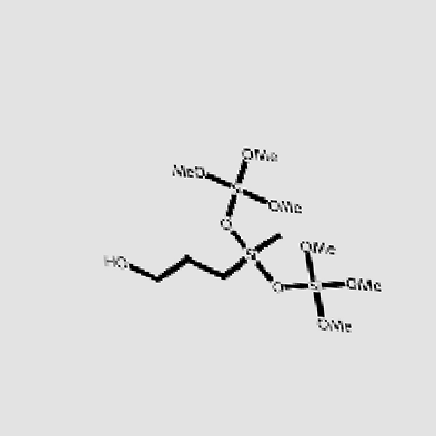 CO[Si](OC)(OC)O[Si](C)(CCCO)O[Si](OC)(OC)OC